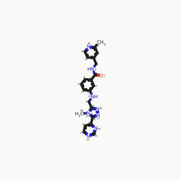 Cc1cc(CNC(=O)c2cccc(NCc3nnc(-c4ccncn4)n3C)c2)ccn1